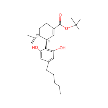 C=C(C)[C@@H]1CCC(C(=O)OC(C)(C)C)=C[C@H]1c1c(O)cc(CCCCC)cc1O